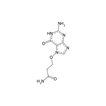 NC(=O)CCOn1cnc2nc(N)[nH]c(=O)c21